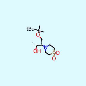 C[C@@H](O)[C@@H](CO[Si](C)(C)C(C)(C)C)N1CCS(=O)(=O)CC1